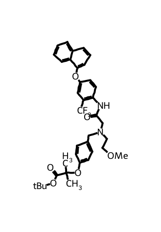 COCCN(CC(=O)Nc1ccc(Oc2cccc3ccccc23)cc1C(F)(F)F)Cc1ccc(OC(C)(C)C(=O)OC(C)(C)C)cc1